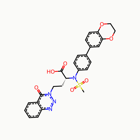 CS(=O)(=O)N(c1ccc(-c2ccc3c(c2)OCCO3)cc1)[C@H](CCn1nnc2ccccc2c1=O)C(=O)O